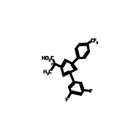 C[C@@H](C(=O)O)c1cc(-c2ccc(C(F)(F)F)cc2)cc(-c2cc(F)cc(F)c2)c1